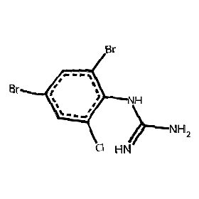 N=C(N)Nc1c(Cl)cc(Br)cc1Br